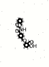 O=Cc1c(O)cccc1OCc1ccc(C(=O)N[C@H](C=O)Cc2ccccc2)cc1